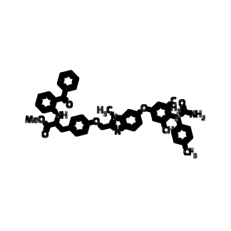 COC(=O)C(Cc1ccc(OCc2nc3ccc(Oc4cc(C)c(N(C(N)=O)c5ccc(C(F)(F)F)cc5)c(C)c4)cc3n2C)cc1)Nc1ccccc1C(=O)c1ccccc1